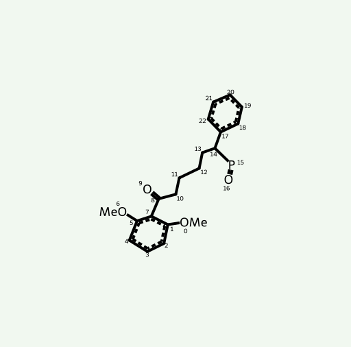 COc1cccc(OC)c1C(=O)CCCCC(P=O)c1ccccc1